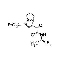 CCOC(=O)c1cc(C(=O)C(=O)N[C@H](C)C(F)(F)F)n2c1CCC2